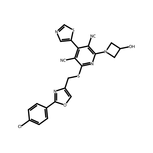 [C-]#[N+]c1c(N2CC(O)C2)nc(SCc2coc(-c3ccc(Cl)cc3)n2)c(C#N)c1-c1cncs1